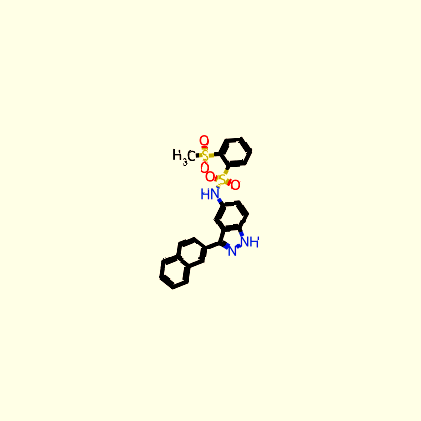 CS(=O)(=O)c1ccccc1S(=O)(=O)Nc1ccc2[nH]nc(-c3ccc4ccccc4c3)c2c1